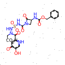 O=C(O)CN(NS(=O)(=O)NC(=O)N1CC(NC(=O)OCc2ccccc2)C1=O)C(=O)c1cc(=O)c(O)c[nH]1